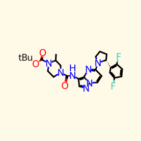 CC1CN(C(=O)Nc2cnn3ccc(N4CCC[C@@H]4c4cc(F)ccc4F)nc23)CCN1C(=O)OC(C)(C)C